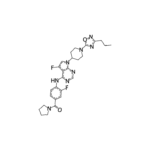 CCCc1noc(N2CCC(n3cc(F)c4c(Nc5ccc(C(=O)N6CCCC6)cc5F)ncnc43)CC2)n1